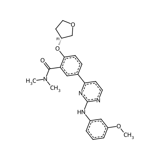 COc1cccc(Nc2nccc(-c3ccc(O[C@@H]4CCOC4)c(C(=O)N(C)C)c3)n2)c1